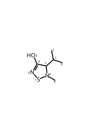 CC(C)C1C(O)=NSN1C